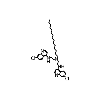 CCCCCCCCCCCCCCCN(CCNc1ccnc2cc(Cl)ccc12)CCNc1ccnc2cc(Cl)ccc12